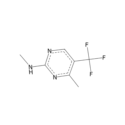 CNc1ncc(C(F)(F)F)c(C)n1